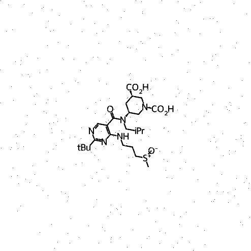 CC(C)CN(C(=O)c1cnc(C(C)(C)C)nc1NCCC[S+](C)[O-])[C@H]1C[C@@H](C(=O)O)CN(C(=O)O)C1